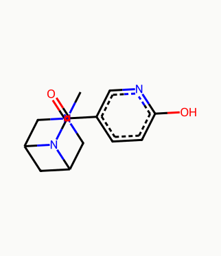 CN1CC2CC(C1)N2C(=O)c1ccc(O)nc1